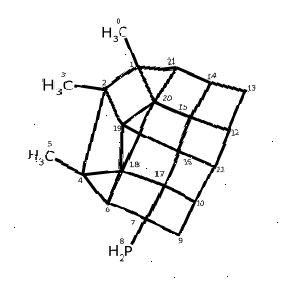 CC12C3(C)C4(C)C56C7(P)CC8C9C%10CC%11C%10%12C9%10C87C45C3%10C%121C%1126